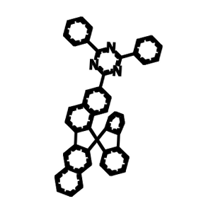 c1ccc(-c2nc(-c3ccccc3)nc(-c3ccc4c5c(ccc4c3)-c3cc4ccccc4cc3C53c4ccccc4-c4ccccc43)n2)cc1